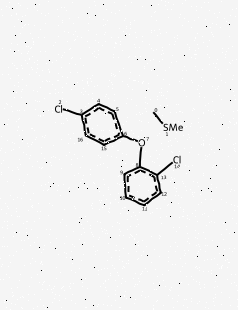 CSC.Clc1ccc(Oc2ccccc2Cl)cc1